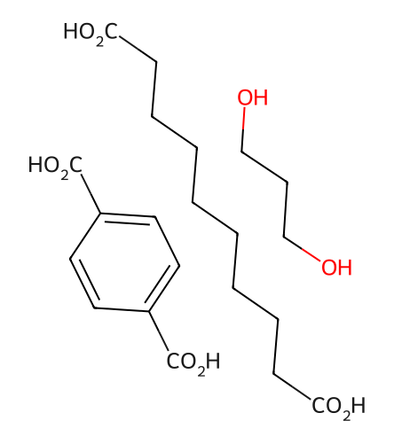 O=C(O)CCCCCCCCC(=O)O.O=C(O)c1ccc(C(=O)O)cc1.OCCCO